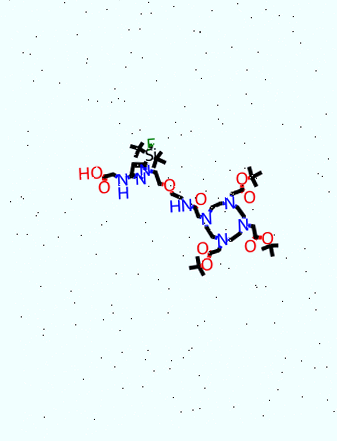 CC(C)(C)OC(=O)CN1CCN(CC(=O)NCCOCCn2nc(NCC(=O)O)cc2[Si](F)(C(C)(C)C)C(C)(C)C)CCN(CC(=O)OC(C)(C)C)CCN(CC(=O)OC(C)(C)C)CC1